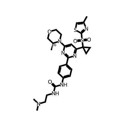 Cc1csc(S(=O)(=O)C2(c3cc(N4CCOC[C@@H]4C)nc(-c4ccc(NC(=O)NCCN(C)C)cc4)n3)CC2)n1